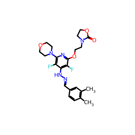 Cc1ccc(C=NNc2c(F)c(OCCN3CCOC3=O)nc(N3CCOCC3)c2F)cc1C